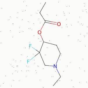 CCC(=O)OC1CCN(CC)CC1(F)F